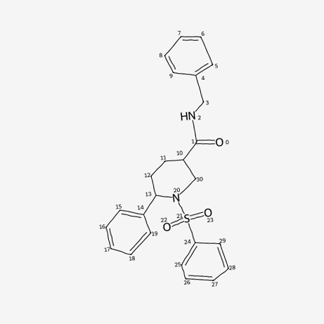 O=C(NCc1ccccc1)C1CCC(c2ccccc2)N(S(=O)(=O)c2ccccc2)C1